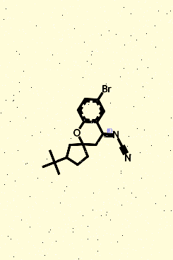 CC(C)(C)C1CCC2(C/C(=N\C#N)c3cc(Br)ccc3O2)C1